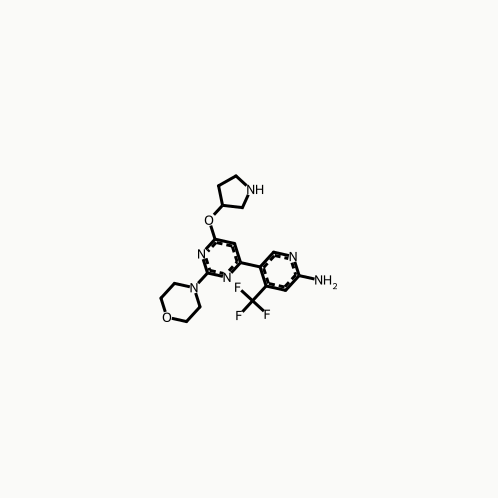 Nc1cc(C(F)(F)F)c(-c2cc(OC3CCNC3)nc(N3CCOCC3)n2)cn1